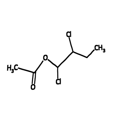 CCC(Cl)C(Cl)OC(C)=O